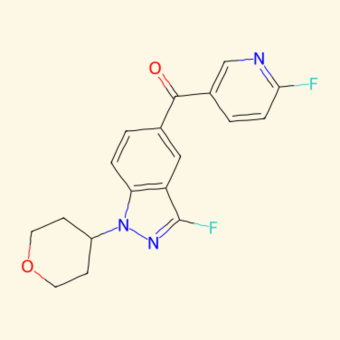 O=C(c1ccc(F)nc1)c1ccc2c(c1)c(F)nn2C1CCOCC1